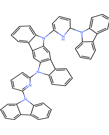 C1=CC(n2c3ccccc3c3ccccc32)NC(n2c3ccccc3c3cc4c(cc32)c2ccccc2n4-c2cccc(-n3c4ccccc4c4ccccc43)n2)=C1